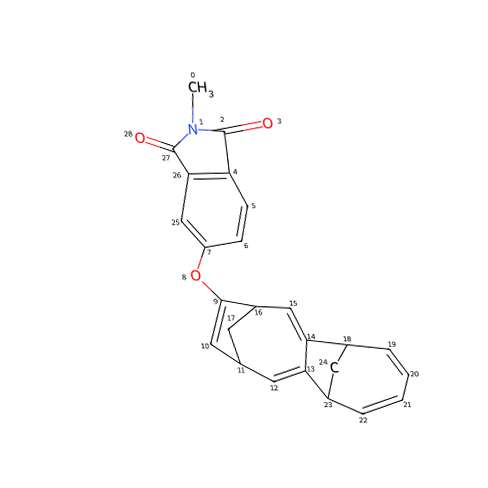 CN1C(=O)c2ccc(OC3=CC4C=C5C(=CC3C4)C3C=CC=CC5C3)cc2C1=O